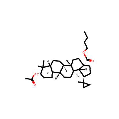 CCCCOC(=O)[C@]12CC[C@@H](C3(C)CC3)[C@@H]1[C@H]1CC[C@@H]3[C@@]4(C)CC[C@H](OC(C)=O)C(C)(C)[C@@H]4CC[C@@]3(C)[C@]1(C)CC2